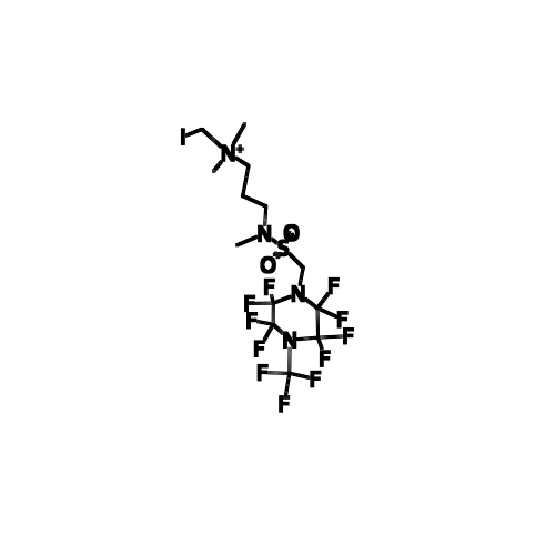 CN(CCC[N+](C)(C)CI)S(=O)(=O)CN1C(F)(F)C(F)(F)N(C(F)(F)F)C(F)(F)C1(F)F